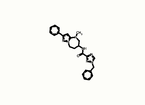 CN1CC(NC(=O)c2ncn(Cc3ccccc3)n2)CCn2nc(-c3ccccc3)cc21